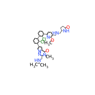 COc1nc(-c2cccc(-c3cccc(-c4cc5c(=O)n(C)c(CNC(C)C)nn5c4)c3Cl)c2Cl)ccc1CNCC1CCC(=O)N1